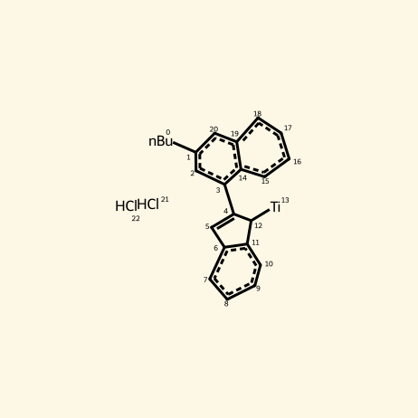 CCCCc1cc(C2=Cc3ccccc3[CH]2[Ti])c2ccccc2c1.Cl.Cl